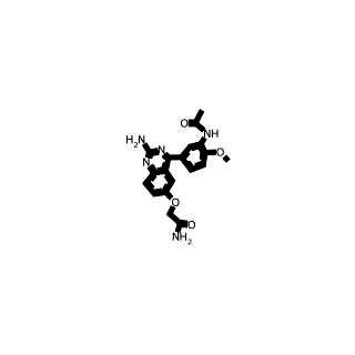 COc1ccc(-c2nc(N)nc3ccc(OCC(N)=O)cc23)cc1NC(C)=O